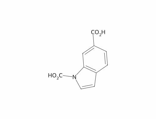 O=C(O)c1ccc2ccn(C(=O)O)c2c1